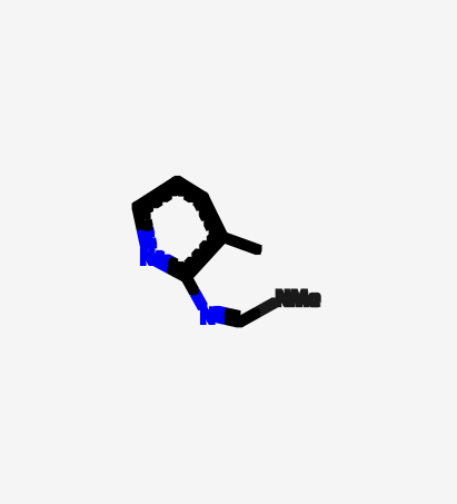 CN/C=N\c1ncccc1C